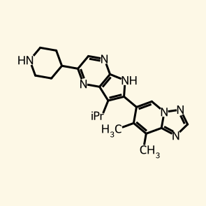 Cc1c(-c2[nH]c3ncc(C4CCNCC4)nc3c2C(C)C)cn2ncnc2c1C